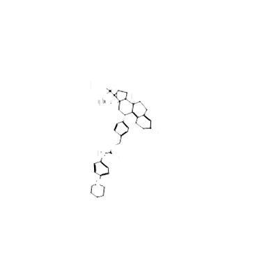 C[C@]12C[C@H](c3ccc(COC(=O)Nc4ccc(N5CCCCC5)cc4)cc3)C3=C4CCC(=O)C=C4CC[C@H]3[C@@H]1CC[C@@]2(O)C(F)(F)C(F)(F)F